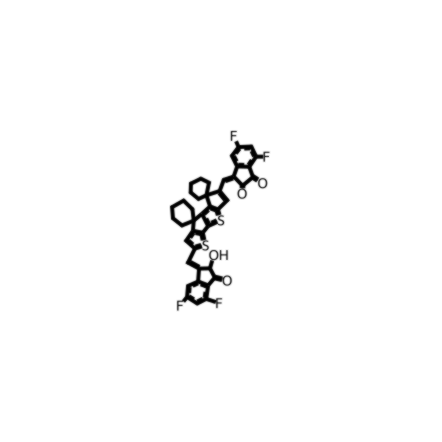 O=C1C(=O)c2c(F)cc(F)cc2/C1=C/C1=Cc2sc3c(c2C12CCCCC2)C1(CCCCC1)c1cc(/C=C2/c4cc(F)cc(F)c4C(=O)C2O)sc1-3